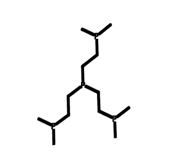 CP(C)CCP(CCP(C)C)CCP(C)C